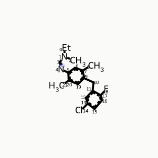 CCN(C)/C=N\c1cc(C)c(Cc2cc(Cl)ccc2F)cc1C